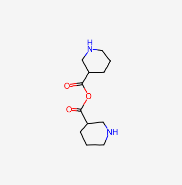 O=C(OC(=O)C1CCCNC1)C1CCCNC1